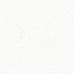 CCC(=O)Nc1cccc(-c2ccc(C(C)(F)CNS(=O)(=O)C(C)C)cc2)c1